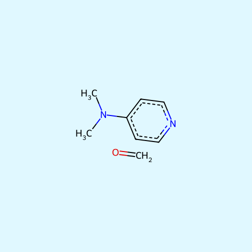 C=O.CN(C)c1ccncc1